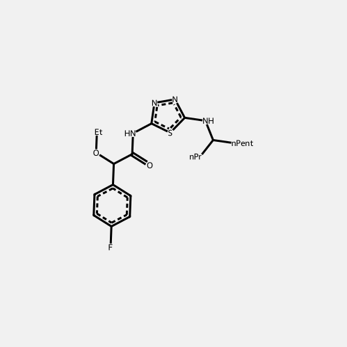 CCCCCC(CCC)Nc1nnc(NC(=O)C(OCC)c2ccc(F)cc2)s1